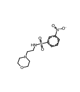 O=[N+]([O-])c1cc[c]c(S(=O)(=O)NCCN2CCOCC2)c1